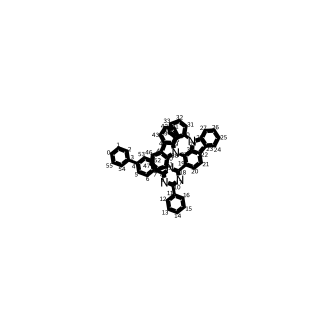 c1ccc(-c2ccc(-c3nc(-c4ccccc4)nc(-c4ccc5c6ccccc6n(-c6ccccc6)c5c4-n4c5ccccc5c5ccccc54)n3)cc2)cc1